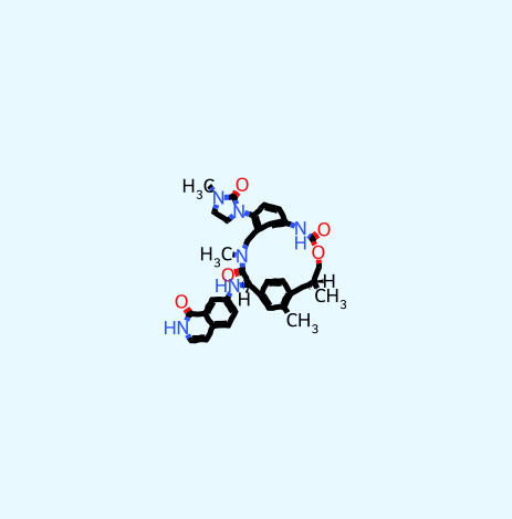 Cc1cc2ccc1[C@@H](C)COC(=O)Nc1ccc(N3CCN(C)C3=O)c(c1)CN(C)C(=O)[C@@H]2Nc1ccc2cc[nH]c(=O)c2c1